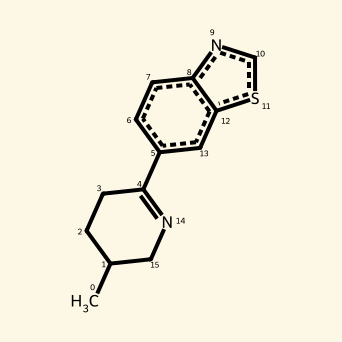 CC1CCC(c2ccc3ncsc3c2)=NC1